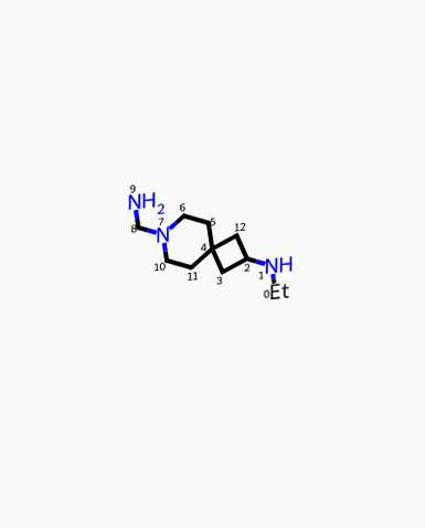 CCNC1CC2(CCN(CN)CC2)C1